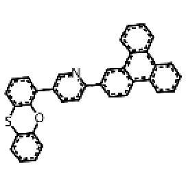 c1ccc2c(c1)Oc1c(cccc1-c1ccc(-c3ccc4c5ccccc5c5ccccc5c4c3)nc1)S2